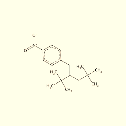 CC(C)(C)CC(Cc1ccc([N+](=O)[O-])cc1)C(C)(C)C